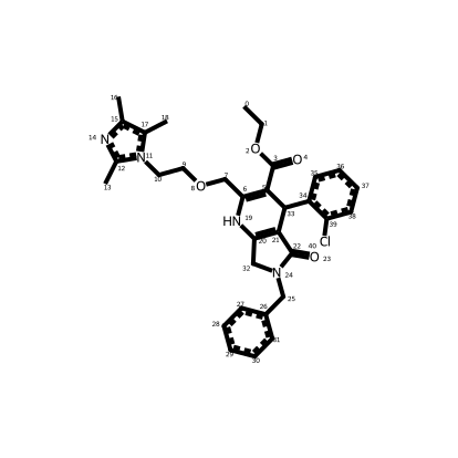 CCOC(=O)C1=C(COCCn2c(C)nc(C)c2C)NC2=C(C(=O)N(Cc3ccccc3)C2)C1c1ccccc1Cl